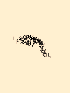 COc1ccc(CN2CCN(C(=O)CC(C)(C)CC(=O)c3ccc(CCc4ccc(C)cc4)s3)CC2)c(OC2CCCC2)c1OC